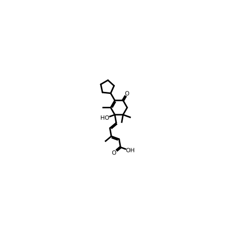 CC(C=CC1(O)C(C)=C(C2CCCC2)C(=O)CC1(C)C)=CC(=O)O